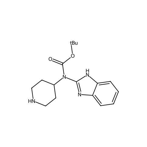 CC(C)(C)OC(=O)N(c1nc2ccccc2[nH]1)C1CCNCC1